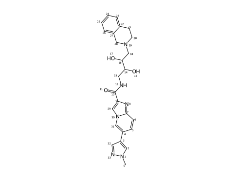 Cn1cc(-c2ccc3nc(C(=O)NCC(O)C(O)CN4CCc5ccccc5C4)cn3c2)cn1